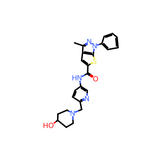 Cc1nn(-c2ccccc2)c2sc(C(=O)Nc3ccc(CN4CCC(O)CC4)nc3)cc12